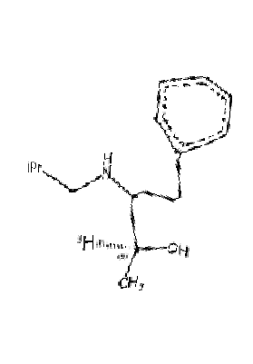 [3H][C@@](C)(O)[C](Cc1ccccc1)NCC(C)C